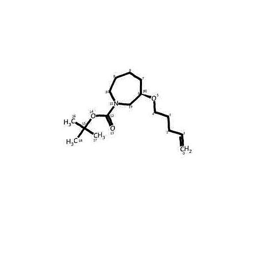 C=CCCCO[C@@H]1CCCCN(C(=O)OC(C)(C)C)C1